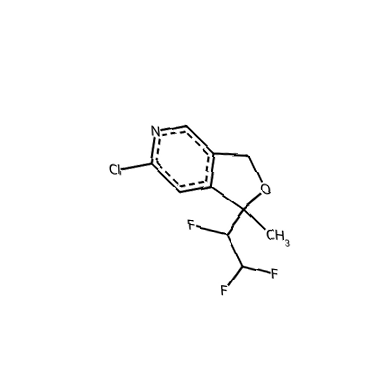 CC1(C(F)C(F)F)OCc2cnc(Cl)cc21